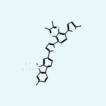 CCCCCC[Si]1(CCCCCC)c2cc(C)ccc2-c2ccc(-c3ccc(-c4ccc(-c5ccc(C)s5)c5nc(C)c(C)nc45)s3)cc21